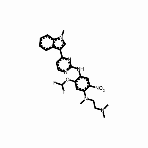 CN(C)CCN(C)c1cc(OC(F)F)c(Nc2nccc(-c3cn(C)c4ccccc34)n2)cc1[N+](=O)[O-]